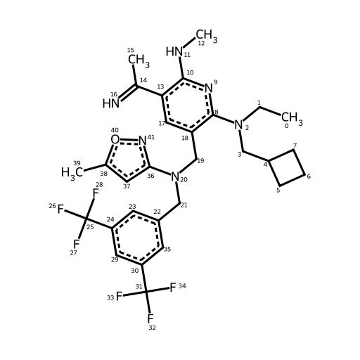 CCN(CC1CCC1)c1nc(NC)c(C(C)=N)cc1CN(Cc1cc(C(F)(F)F)cc(C(F)(F)F)c1)c1cc(C)on1